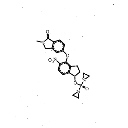 CN1Cc2cc(Oc3c([N+](=O)[O-])ccc4c3CCC4OP(=O)(N3CC3)N3CC3)ccc2C1=O